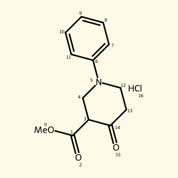 COC(=O)C1CN(c2ccccc2)CCC1=O.Cl